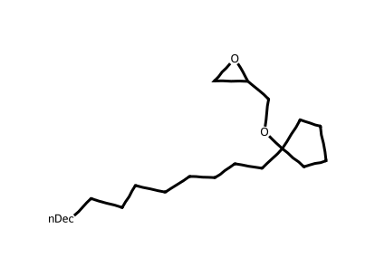 CCCCCCCCCCCCCCCCCCC1(OCC2CO2)CCCC1